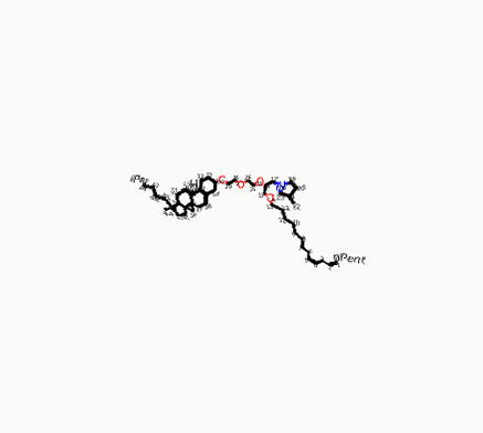 CCCCC/C=C\C/C=C\CCCCCCCCOCC(CN1CCC(C)C1)OCCOCCO[C@H]1CCC2C(=CC[C@@]34C[C@]35CC[C@](C)(CCCCC(C)C)C5CC[C@H]24)C1